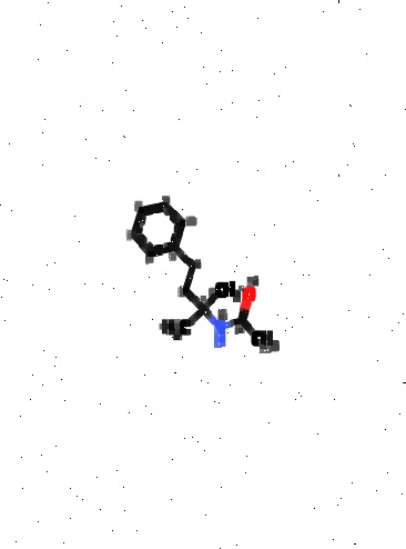 [CH2]C([CH2])(CCc1ccccc1)NC(C)=O